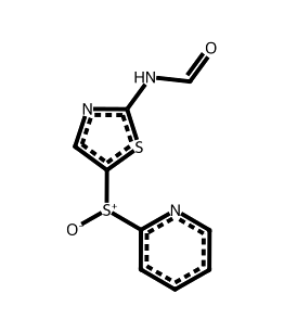 O=CNc1ncc([S+]([O-])c2ccccn2)s1